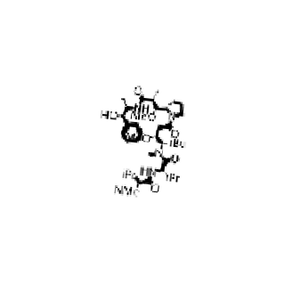 CC[C@@H](C)[C@@H]([C@@H](CC(=O)N1CCC[C@H]1[C@H](OC)[C@@H](C)C(=O)N[C@H](C)[C@@H](O)c1ccccc1)OC)N(C)C(=O)[C@@H](NC(=O)[C@@H](NC)C(C)C)C(C)C